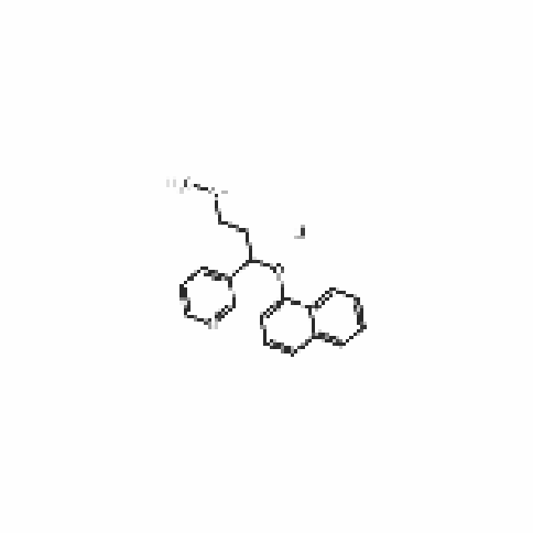 CNCCC(Oc1cccc2ccccc12)c1cccnc1.Cl